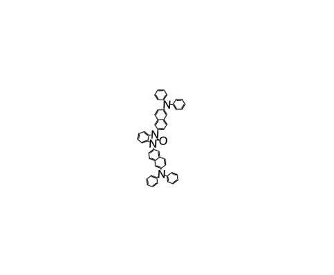 O=c1n(-c2ccc3cc(N(c4ccccc4)c4ccccc4)ccc3c2)c2ccccc2n1-c1ccc2cc(N(c3ccccc3)c3ccccc3)ccc2c1